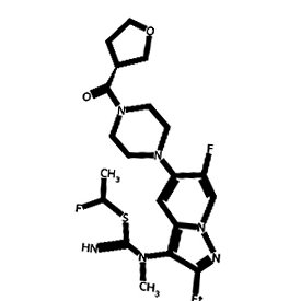 CCc1nn2cc(F)c(N3CCN(C(=O)[C@H]4CCOC4)CC3)cc2c1N(C)C(=N)SC(C)F